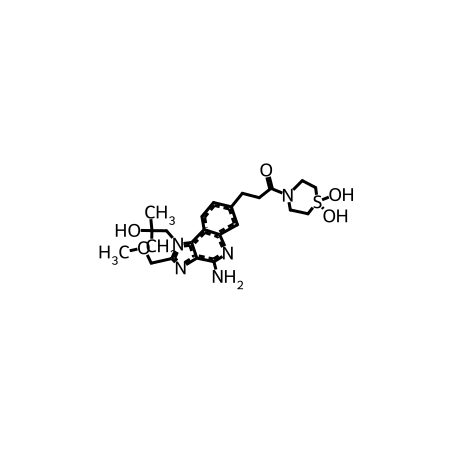 COCc1nc2c(N)nc3cc(CCC(=O)N4CCS(O)(O)CC4)ccc3c2n1CC(C)(C)O